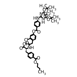 CCCCOC(=O)c1ccc(C[C@H](NC(=O)Cc2ccc(OC(=O)c3ccc(N/C(=N/C(=O)OC(C)(C)C)NC(=O)OC(C)(C)C)cc3)cc2Cl)C(=O)O)cc1